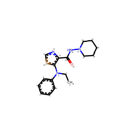 CCN(c1ccccc1)c1scnc1C(=O)NN1CCCCC1